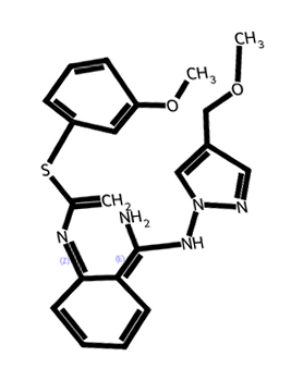 C=C(/N=C1/C=CC=C/C1=C(/N)Nn1cc(COC)cn1)Sc1cccc(OC)c1